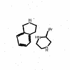 CC(C)C1CNCCN1.c1ccc2c(c1)CCNC2